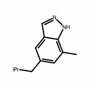 Cc1cc(CC(C)C)cc2cn[nH]c12